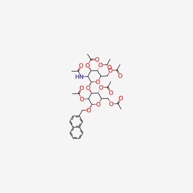 CC(=O)NC1[C@H](O[C@@H]2C(OC(C)=O)[C@H](OCc3ccc4ccccc4c3)OC(COC(C)=O)[C@H]2OC(C)=O)OC(COC(C)=O)[C@@H](OC(C)=O)[C@@H]1OC(C)=O